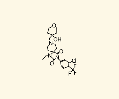 CCN1C(=O)N(c2ccc(C(F)(F)F)c(Cl)c2)C(=O)C12CCN(CC1(O)CCOCC1)CC2